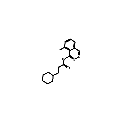 Cc1cccc2cnnc(NC(=O)CCC3CCCCC3)c12